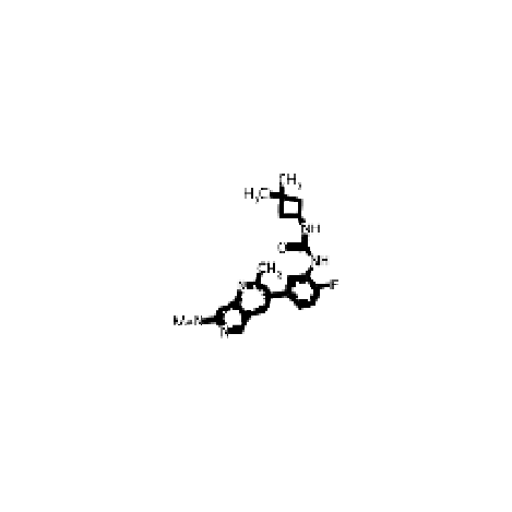 CNc1cc2nc(C)c(-c3ccc(F)c(NC(=O)NC4CC(C)(C)C4)c3)cc2cn1